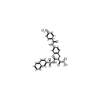 CCN(CC)C(=O)C(Cc1ccc(NC(=O)c2ccc([N+](=O)[O-])cc2)cc1)C(=O)NS(=O)(=O)c1ccc2ccccc2c1